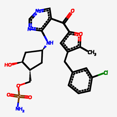 Cc1oc(C(=O)c2cncnc2N[C@@H]2C[C@H](COS(N)(=O)=O)[C@@H](O)C2)cc1Cc1cccc(Cl)c1